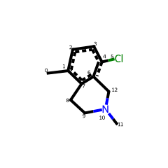 Cc1ccc(Cl)c2c1CCN(C)C2